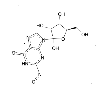 O=Nc1nc2c(ncn2[C@]2(O)O[C@H](CO)[C@@H](O)[C@H]2O)c(=O)[nH]1